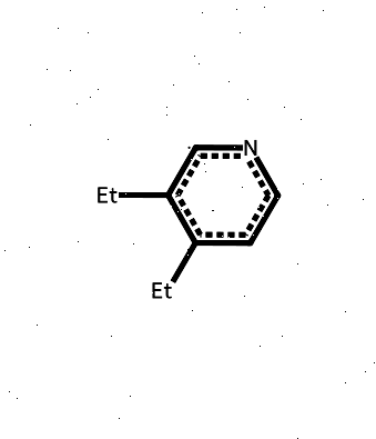 CCc1[c]nccc1CC